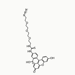 [N-]=[N+]=NCCOCCOCCOCCNC(=S)Nc1ccc(-c2c3ccc(=O)cc-3oc3cc(O)ccc23)c(C(=O)O)c1